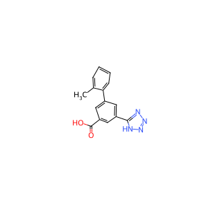 Cc1ccccc1-c1cc(C(=O)O)cc(-c2nnn[nH]2)c1